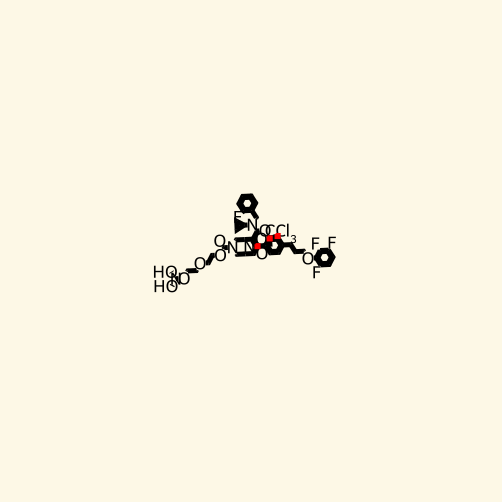 CC(C)(OC(=O)N1C2CC(c3ccc(CCCOc4c(F)ccc(F)c4F)cc3)=C(C(=O)N(Cc3ccccc3F)C3CC3)C1CN(C(=O)OCCOCCON(O)O)C2)C(Cl)(Cl)Cl